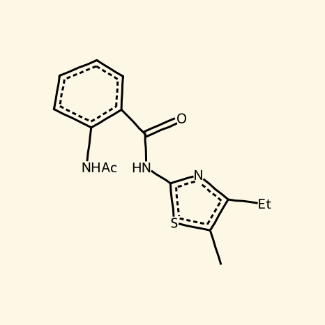 CCc1nc(NC(=O)c2ccccc2NC(C)=O)sc1C